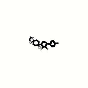 Cc1ccc(-c2ccc(C3(O)CCC4(CC3)OCCO4)c(F)c2F)cc1